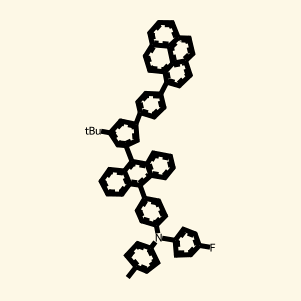 Cc1ccc(N(c2ccc(F)cc2)c2ccc(-c3c4ccccc4c(-c4cc(-c5ccc(-c6ccc7ccc8cccc9ccc6c7c89)cc5)cc(C(C)(C)C)c4)c4ccccc34)cc2)cc1